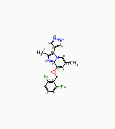 Cc1cc(OCc2c(F)cccc2F)c2nc(C)c(-c3cn[nH]c3)n2c1